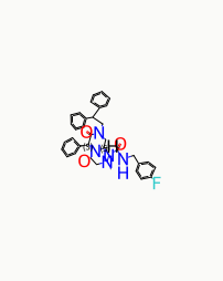 CN1CC(=O)N2[C@@H](c3ccccc3)C(=O)N(CC(c3ccccc3)c3ccccc3)C[C@@H]2N1C(=O)NCc1ccc(F)cc1